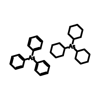 C1CCC([As](C2CCCCC2)C2CCCCC2)CC1.c1ccc([As](c2ccccc2)c2ccccc2)cc1